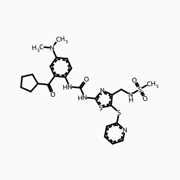 CN(C)c1ccc(NC(=O)Nc2nc(CNS(C)(=O)=O)c(Sc3ccccn3)s2)c(C(=O)C2CCCC2)c1